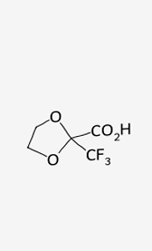 O=C(O)C1(C(F)(F)F)OCCO1